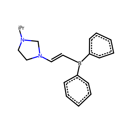 CC(C)N1CCN(C=CB(c2ccccc2)c2ccccc2)C1